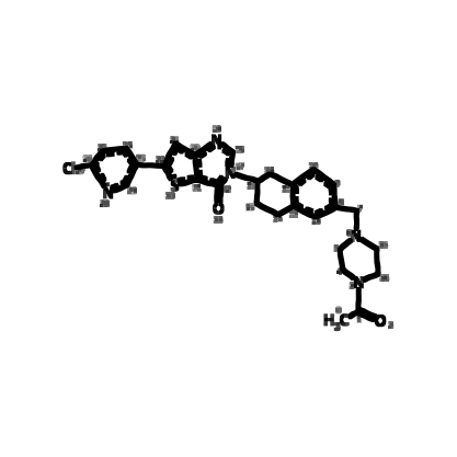 CC(=O)N1CCN(Cc2ccc3c(c2)CCC(n2cnc4cc(-c5ccc(Cl)nc5)sc4c2=O)C3)CC1